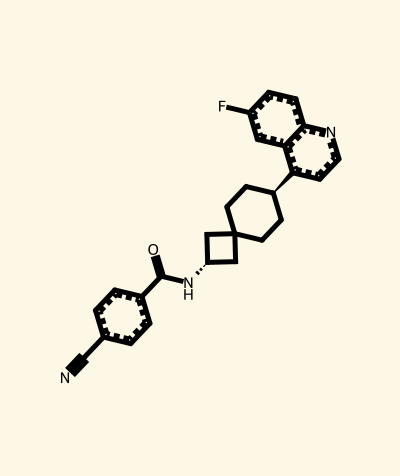 N#Cc1ccc(C(=O)N[C@H]2CC3(CC[C@H](c4ccnc5ccc(F)cc54)CC3)C2)cc1